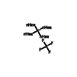 CCCCCC[N+](CCCCCC)(CCCCCC)CCCCCC.F[B-](F)(F)F